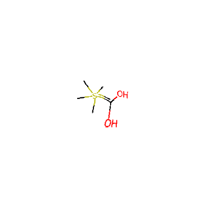 CS(C)(C)(C)=C(O)O